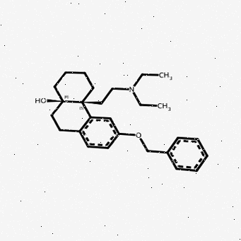 CCN(CC)CC[C@]12CCCC[C@@]1(O)CCc1ccc(OCc3ccccc3)cc12